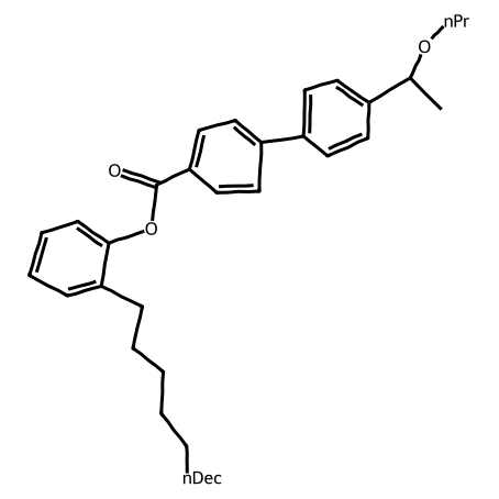 CCCCCCCCCCCCCCCc1ccccc1OC(=O)c1ccc(-c2ccc(C(C)OCCC)cc2)cc1